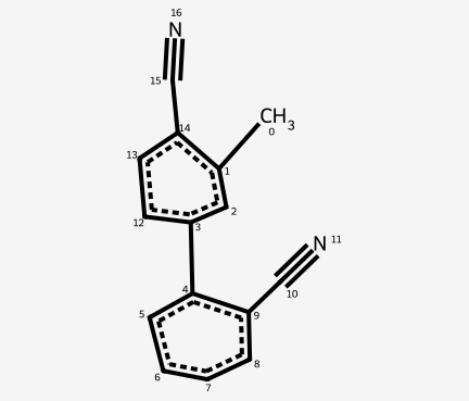 Cc1cc(-c2ccccc2C#N)ccc1C#N